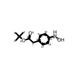 CC(C)(C)OC(=O)Cc1ccc(NO)cc1